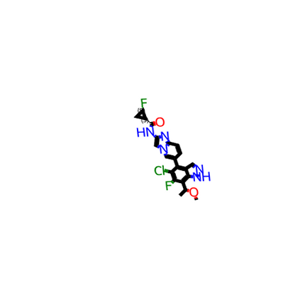 COC(C)c1c(F)c(Cl)c(-c2ccc3nc(NC(=O)[C@@H]4C[C@@H]4F)cn3c2)c2cn[nH]c12